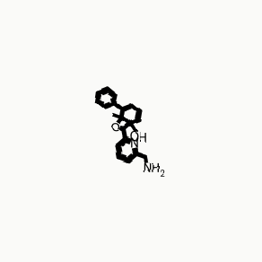 CC1(C)C(c2ccccc2)=CC=CC1(CO)C(=O)c1cccc(CN)n1